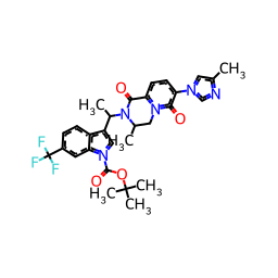 Cc1cn(-c2ccc3n(c2=O)CC(C)N(C(C)c2cn(C(=O)OC(C)(C)C)c4cc(C(F)(F)F)ccc24)C3=O)cn1